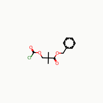 CC(C)(COC(=O)Cl)C(=O)OCc1ccccc1